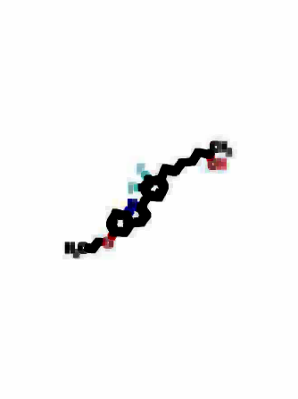 C=CCOc1ccc2nc(-c3ccc(C=CCCCC(C)O)c(F)c3F)ccc2c1